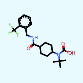 CC(C)(C)N(C(=O)O)C1CCC(C(=O)NCc2ccccc2C(F)(F)F)CC1